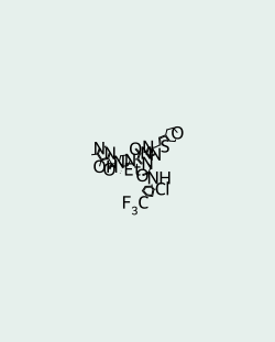 CCc1c(N2CCN(C(=O)c3ncnc(C)c3O)[C@@H](C)C2)c(=O)n2nc(-c3cc4c(s3)COCC4)nc2n1CC(=O)Nc1ccc(C(F)(F)F)cc1Cl